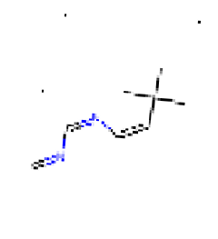 C=N/C=N\C=C/C(C)(C)C